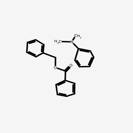 CN(C)c1ccccc1.O=C(OCc1ccccc1)c1ccccc1